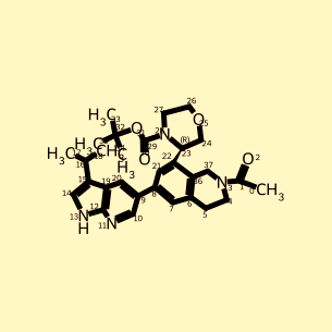 CC(=O)N1CCc2cc(-c3cnc4[nH]cc(C(C)C)c4c3)cc([C@@H]3COCCN3C(=O)OC(C)(C)C)c2C1